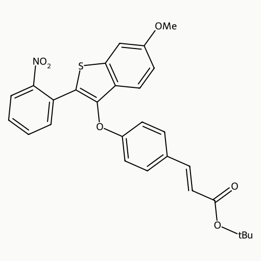 COc1ccc2c(Oc3ccc(/C=C/C(=O)OC(C)(C)C)cc3)c(-c3ccccc3[N+](=O)[O-])sc2c1